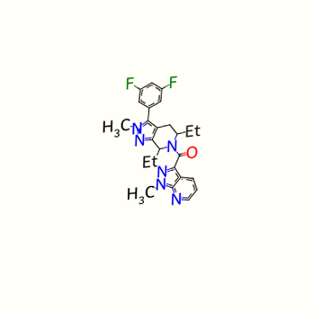 CCC1Cc2c(nn(C)c2-c2cc(F)cc(F)c2)C(CC)N1C(=O)c1nn(C)c2ncccc12